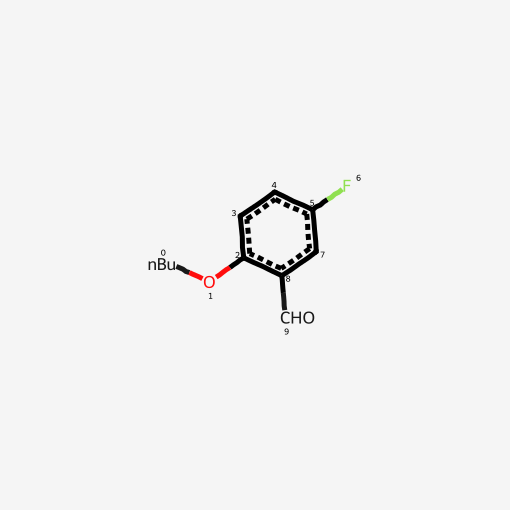 CCCCOc1ccc(F)cc1C=O